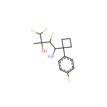 CC(O)(C(F)F)C(F)C(N)C1(c2ccc(F)cc2)CCC1